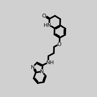 O=C1CCc2ccc(OCCCNc3cnc4ccccn34)cc2N1